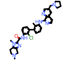 Cc1c(Nc2nccc3cc(CN4CCCC4)cnc23)cccc1-c1cccc(NC(=O)c2nc3c(n2C)CCN(C)C3)c1Cl